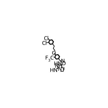 N=C(N)N1CCCC1C1NC(c2ccc(OCCCc3ccc(Cl)c(Cl)c3)c(C(F)(F)F)c2)=NO1